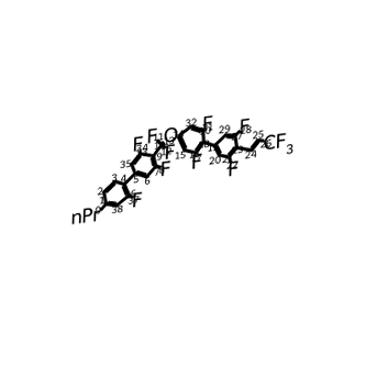 CCCc1ccc(-c2cc(F)c(C(F)(F)Oc3cc(F)c(-c4cc(F)c(/C=C/C(F)(F)F)c(F)c4)c(F)c3)c(F)c2)c(F)c1